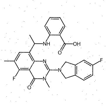 Cc1cc(C(C)Nc2ccccc2C(=O)O)c2nc(N3Cc4ccc(F)cc4C3)n(C)c(=O)c2c1F